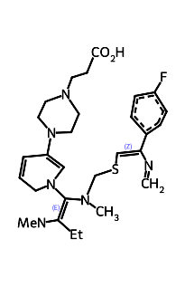 C=N/C(=C\SCN(C)/C(=C(\CC)NC)N1C=C(N2CCN(CCC(=O)O)CC2)C=CC1)c1ccc(F)cc1